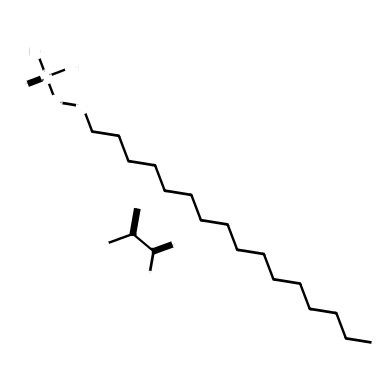 C=C(C)C(=O)O.CCCCCCCCCCCCCCCCOOP(=O)(O)O